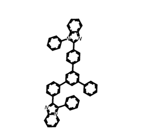 c1ccc(-c2cc(-c3ccc(-c4nc5ccccc5n4-c4ccccc4)cc3)cc(-c3cccc(-c4nc5ccccn5c4-c4ccccc4)c3)c2)cc1